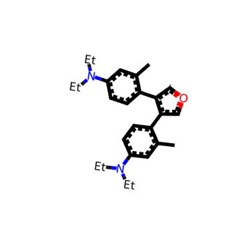 CCN(CC)c1ccc(-c2[c]occ2-c2ccc(N(CC)CC)cc2C)c(C)c1